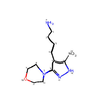 NCCCCc1c(N2CCOCC2)n[nH]c1[N+](=O)[O-]